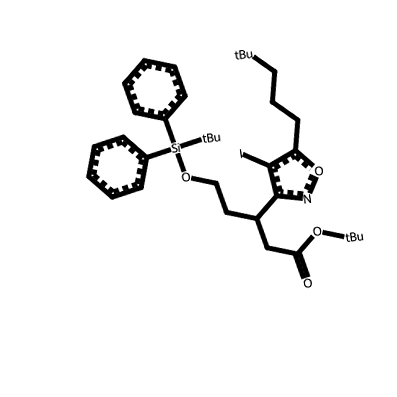 CC(C)(C)CCCc1onc(C(CCO[Si](c2ccccc2)(c2ccccc2)C(C)(C)C)CC(=O)OC(C)(C)C)c1I